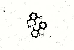 Fc1cccc(F)c1CNC1CCCNC1c1ccccc1